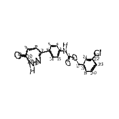 O=C(Nc1ccc(-c2ccc(=O)[nH]n2)cc1)OCc1cccc(Cl)c1